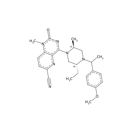 CC[C@@H]1CN(c2nc(=O)n(C)c3ccc(C#N)nc23)[C@@H](C)CN1C(C)c1ccc(OC)cc1